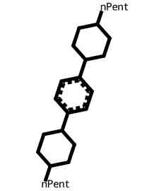 CCCCCC1CCC(c2ccc(C3CCC(CCCCC)CC3)cc2)CC1